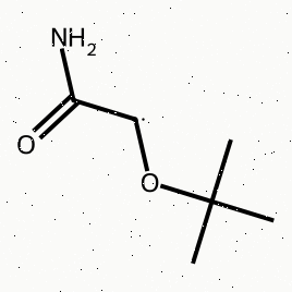 CC(C)(C)O[CH]C(N)=O